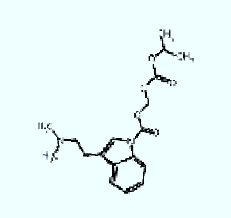 CC(C)OC(=O)OCOC(=O)n1cc(CCN(C)C)c2ccccc21